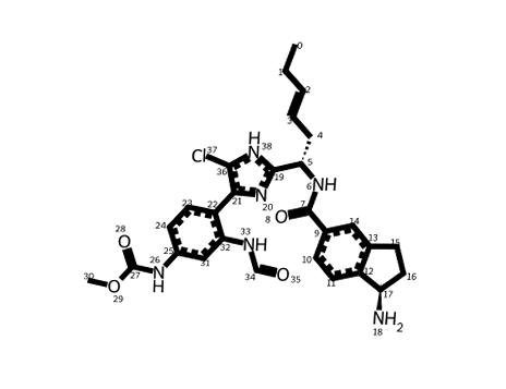 CC/C=C/C[C@H](NC(=O)c1ccc2c(c1)CC[C@H]2N)c1nc(-c2ccc(NC(=O)OC)cc2NC=O)c(Cl)[nH]1